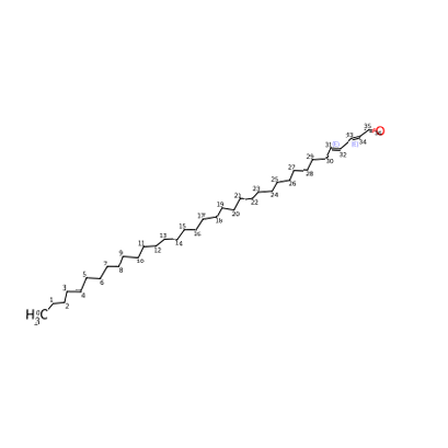 CCCCCCCCCCCCCCCCCCCCCCCCCCCCCCC/C=C/C=C/[C]=O